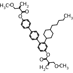 C=C(COC)C(=O)Oc1ccc(-c2ccc(-c3ccc(OC(=O)C(=C)COC)cc3C3CCC(CCCCC)CC3)cc2)cc1